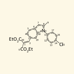 CCOC(=O)C(=Cc1ccc2cc(C)n(-c3ccc(Cl)cc3)c2c1)C(=O)OCC